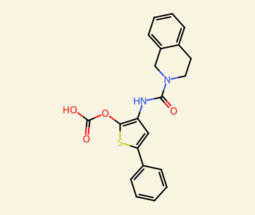 O=C(O)Oc1sc(-c2ccccc2)cc1NC(=O)N1CCc2ccccc2C1